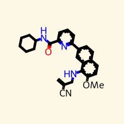 C=C(C#N)CNc1c(OC)ccc2ccc(-c3cccc(C(=O)NC4CCCCC4)n3)cc12